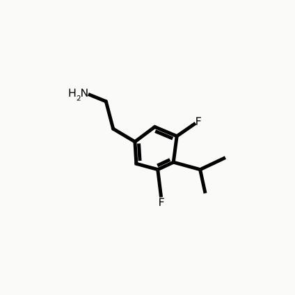 CC(C)c1c(F)cc(CCN)cc1F